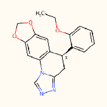 CCOc1ccccc1[C@H]1Cc2nncn2-c2cc3c(cc21)OCO3